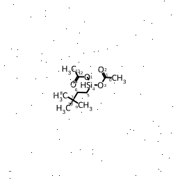 CC(=O)O[SiH](CCC(C)(C)C)OC(C)=O